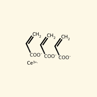 C=CC(=O)[O-].C=CC(=O)[O-].C=CC(=O)[O-].[Ce+3]